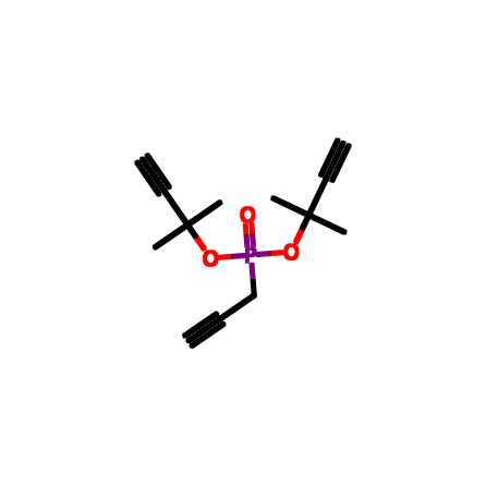 C#CCP(=O)(OC(C)(C)C#C)OC(C)(C)C#C